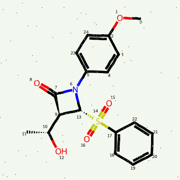 COc1ccc(N2C(=O)[C@H]([C@@H](C)O)[C@H]2S(=O)(=O)c2ccccc2)cc1